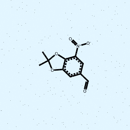 CC1(C)Oc2cc(C=O)cc([N+](=O)[O-])c2O1